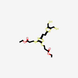 CCOC(=O)CCSC1=C(SCCC(=O)OCC)SC(=CC=C2SC(CS)=C(CS)S2)S1